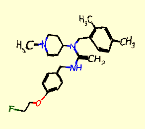 C=C(NCc1ccc(OCCF)cc1)N(Cc1ccc(C)cc1C)C1CCN(C)CC1